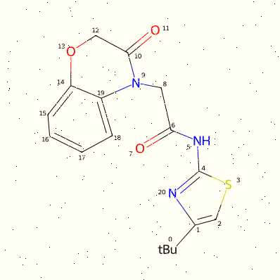 CC(C)(C)c1csc(NC(=O)CN2C(=O)COc3ccccc32)n1